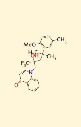 COc1ccc(C)cc1C(C)(C)CC(O)(Cn1ccc(=O)c2ccccc21)C(F)(F)F